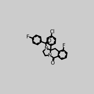 O=C(c1ccc(F)cc1)N1CCN2C(=O)c3cccc(F)c3CC12c1ccc(Cl)cc1